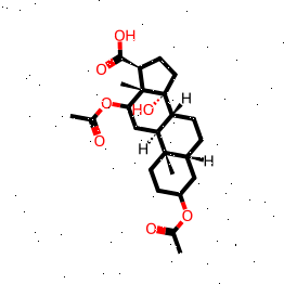 CC(=O)OC1CC[C@@]2(C)[C@H](CC[C@@H]3[C@@H]2CC(OC(C)=O)[C@]2(C)[C@@H](C(=O)O)CC[C@@]32O)C1